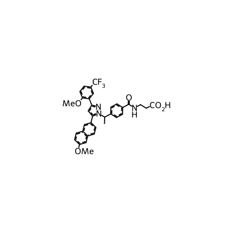 COc1ccc2cc(-c3cc(-c4cc(C(F)(F)F)ccc4OC)nn3C(C)c3ccc(C(=O)NCCC(=O)O)cc3)ccc2c1